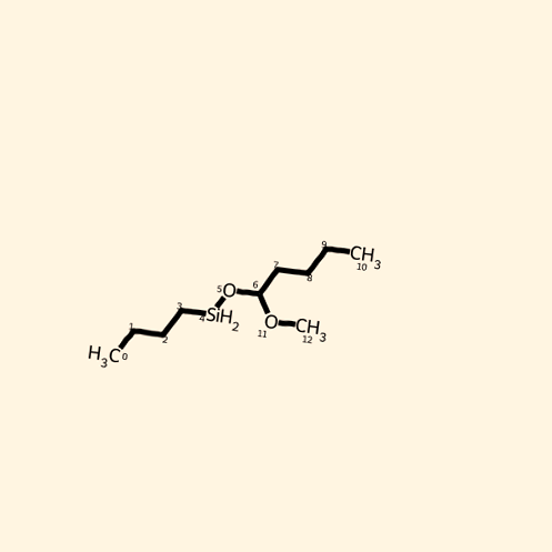 CCCC[SiH2]OC(CCCC)OC